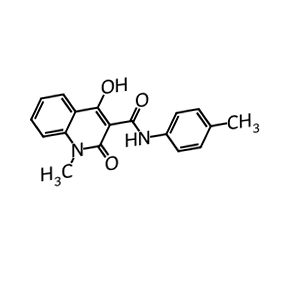 Cc1ccc(NC(=O)c2c(O)c3ccccc3n(C)c2=O)cc1